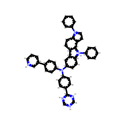 c1ccc(-n2ccc3c2ccc2c4cc(N(c5ccc(-c6cccnc6)cc5)c5ccc(-c6ncncn6)cc5)ccc4n(-c4ccccc4)c23)cc1